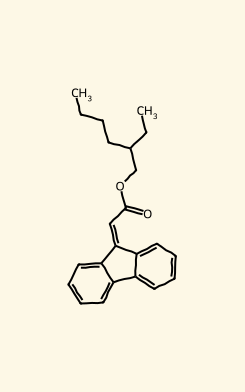 CCCCC(CC)COC(=O)C=C1c2ccccc2-c2ccccc21